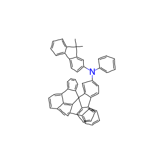 CC1(C)c2ccccc2-c2ccc(N(c3ccccc3)c3ccc4c(c3)C3(c5ccccc5-4)c4ccccc4-c4cccc5ccc(-c6ccccc6)c3c45)cc21